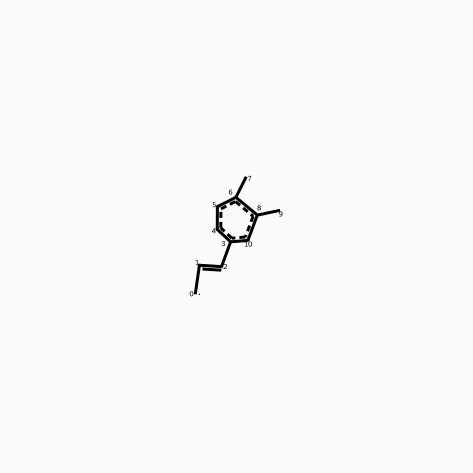 [CH2]/C=C/c1ccc(C)c(C)c1